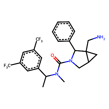 CC(c1cc(C(F)(F)F)cc(C(F)(F)F)c1)N(C)C(=O)N1CC2CC2(CN)C1c1ccccc1